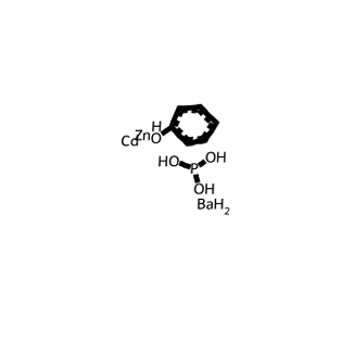 OP(O)O.Oc1ccccc1.[BaH2].[Cd].[Zn]